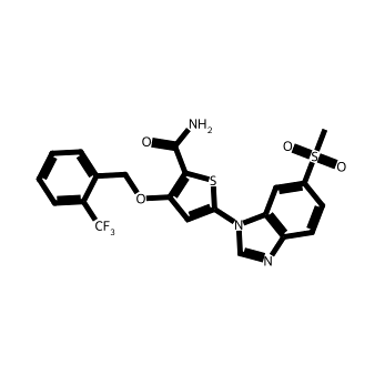 CS(=O)(=O)c1ccc2ncn(-c3cc(OCc4ccccc4C(F)(F)F)c(C(N)=O)s3)c2c1